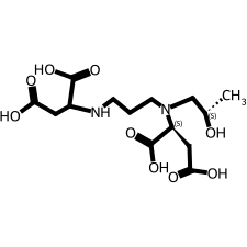 C[C@H](O)CN(CCCNC(CC(=O)O)C(=O)O)[C@@H](CC(=O)O)C(=O)O